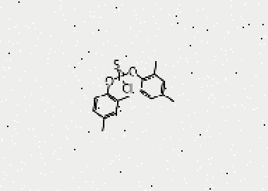 Cc1ccc(OP(=S)(Cl)Oc2ccc(C)cc2C)c(C)c1